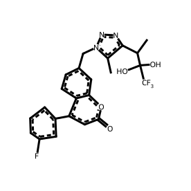 Cc1c(C(C)C(O)(O)C(F)(F)F)nnn1Cc1ccc2c(-c3cccc(F)c3)cc(=O)oc2c1